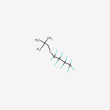 CC(C)(C)CCC(F)(F)C(F)(F)C(F)(F)C(F)(F)F